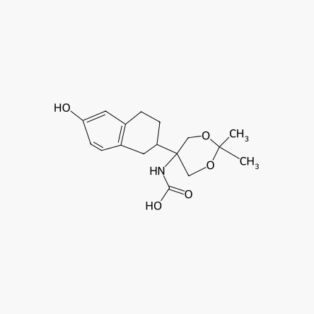 CC1(C)OCC(NC(=O)O)(C2CCc3cc(O)ccc3C2)CO1